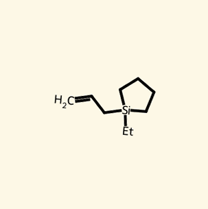 C=CC[Si]1(CC)CCCC1